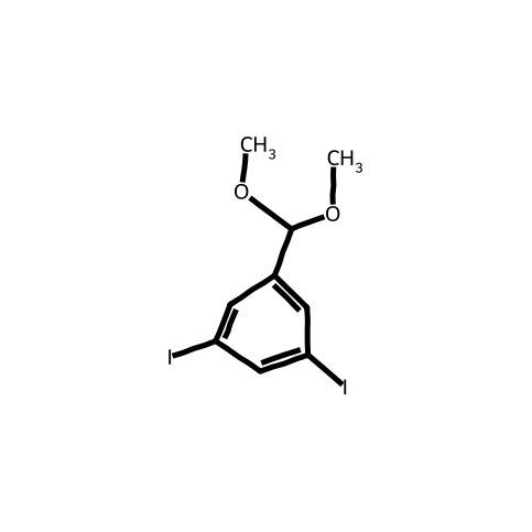 COC(OC)c1cc(I)cc(I)c1